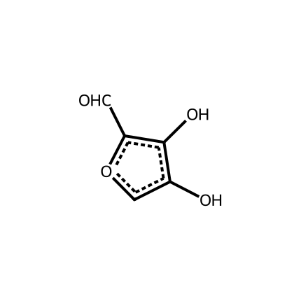 O=Cc1occ(O)c1O